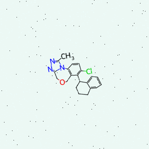 Cc1nnc2n1-c1ccc(Cl)c(C3CCCc4ccccc43)c1COC2